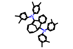 Cc1ccc(N(C2=C3C=CC=CC(=C(N(c4ccc(C)c(C)c4)c4ccc(C)c(C)c4)c4ccccc42)C3)c2ccc(C)c(C)c2)cc1C